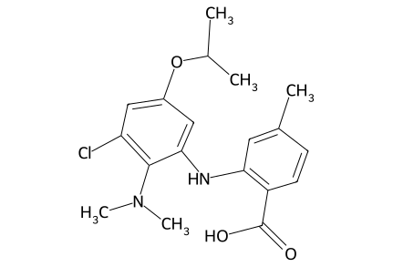 Cc1ccc(C(=O)O)c(Nc2cc(OC(C)C)cc(Cl)c2N(C)C)c1